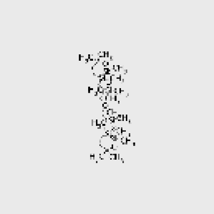 CC1(C)CC[Si](CCCOCCC[Si]2(O[Si](C)(C)C)CCC(C)(C)O[Si]2(C)C)(O[Si](C)(C)C)[Si](C)(C)O1